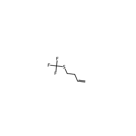 C=CCCSC(F)(F)F